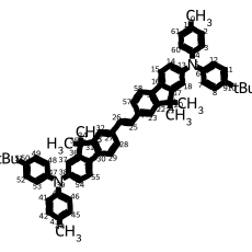 Cc1ccc(N(c2ccc(C(C)(C)C)cc2)c2ccc3c(c2)C(C)(C)c2cc(/C=C/c4ccc5c(c4)C(C)(C)c4cc(N(c6ccc(C)cc6)c6ccc(C(C)(C)C)cc6)ccc4-5)ccc2-3)cc1